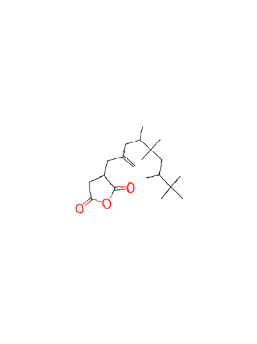 C=C(CC1CC(=O)OC1=O)CC(C)C(C)(C)CC(C)C(C)(C)C